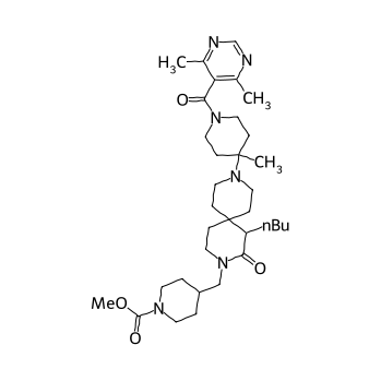 CCCCC1C(=O)N(CC2CCN(C(=O)OC)CC2)CCC12CCN(C1(C)CCN(C(=O)c3c(C)ncnc3C)CC1)CC2